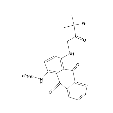 CCCCCNc1ccc(NCC(=O)C(C)(C)CC)c2c1C(=O)c1ccccc1C2=O